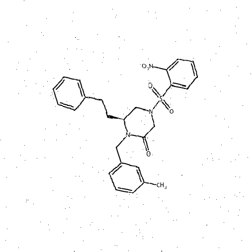 Cc1cccc(CN2C(=O)CN(S(=O)(=O)c3ccccc3[N+](=O)[O-])C[C@@H]2CCc2ccccc2)c1